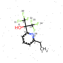 [CH2]Cc1cccc(C(O)(C(F)(F)F)C(F)(F)F)n1